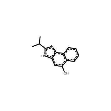 CC(C)c1nc2c(cc(O)c3ccccc32)[nH]1